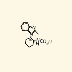 Cc1nc2ccccc2n1[C@@H]1CCCC[C@H]1NC(=O)O